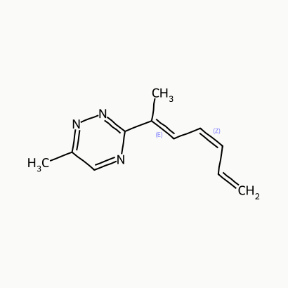 C=C/C=C\C=C(/C)c1ncc(C)nn1